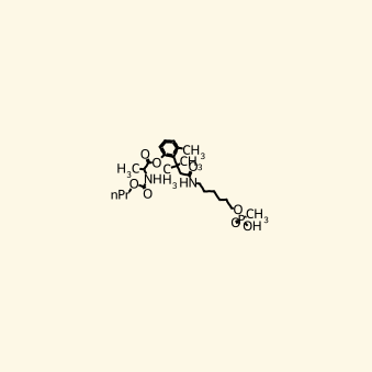 CCCOC(=O)NC(C)C(=O)Oc1cccc(C)c1C(C)(C)CC(=O)NCCCCCCOP(C)(=O)O